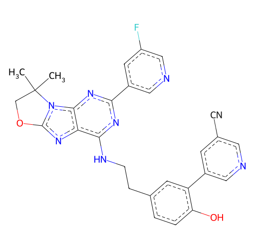 CC1(C)COc2nc3c(NCCc4ccc(O)c(-c5cncc(C#N)c5)c4)nc(-c4cncc(F)c4)nc3n21